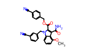 COc1cccc2c1c(C(N)=O)c(C(=O)OCc1ccc(C#N)cc1)n2Cc1cccc(C#N)c1